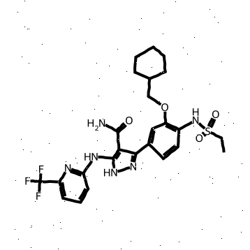 CCS(=O)(=O)Nc1ccc(-c2n[nH]c(Nc3cccc(C(F)(F)F)n3)c2C(N)=O)cc1OCC1CCCCC1